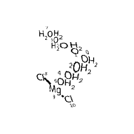 O.O.O.O.O.O.O.O.[Cl][Mg][Cl]